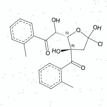 Cc1ccccc1C(=O)C(O)[C@@H]1OC(O)(Cl)C[C@]1(O)C(=O)c1ccccc1C